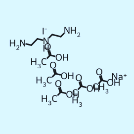 CC(=O)O.CC(=O)O.CC(=O)O.CC(=O)O.CC(=O)O.NCCNCCN.[I-].[Na+]